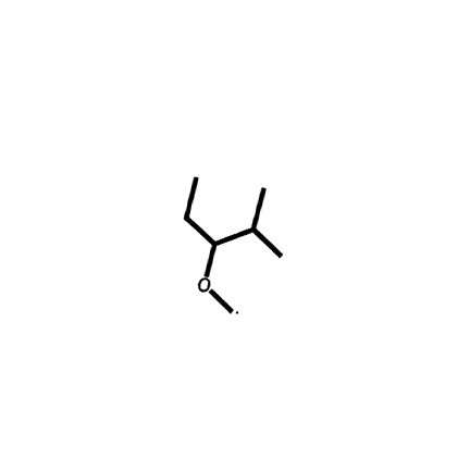 [CH2]OC(CC)C(C)C